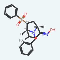 O=S(=O)(c1ccccc1)[C@H]1C[C@@H]2/C(=N\O)CC(C(F)(F)F)[C@H]1N2Cc1ccccc1